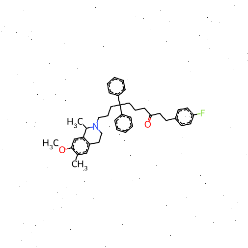 COc1cc2c(cc1C)CCN(CCCC(CCCC(=O)CCc1ccc(F)cc1)(c1ccccc1)c1ccccc1)C2C